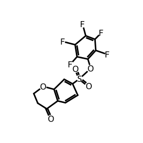 O=C1CCOc2cc(S(=O)(=O)Oc3c(F)c(F)c(F)c(F)c3F)ccc21